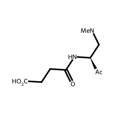 CNC[C@H](NC(=O)CCC(=O)O)C(C)=O